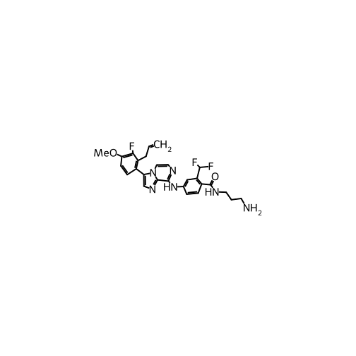 C=CCc1c(-c2cnc3c(Nc4ccc(C(=O)NCCCN)c(C(F)F)c4)nccn23)ccc(OC)c1F